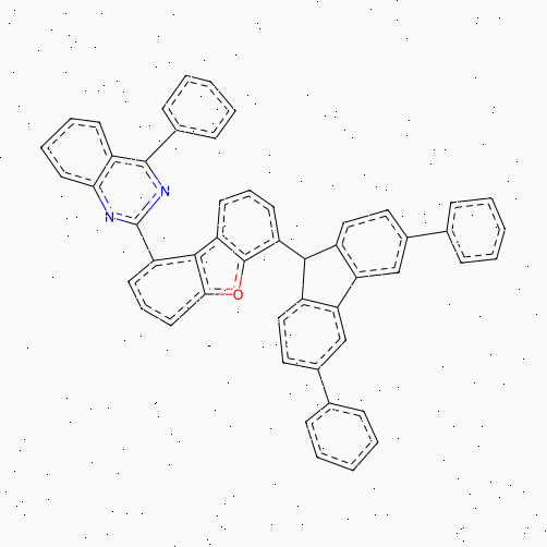 c1ccc(-c2ccc3c(c2)-c2cc(-c4ccccc4)ccc2C3c2cccc3c2oc2cccc(-c4nc(-c5ccccc5)c5ccccc5n4)c23)cc1